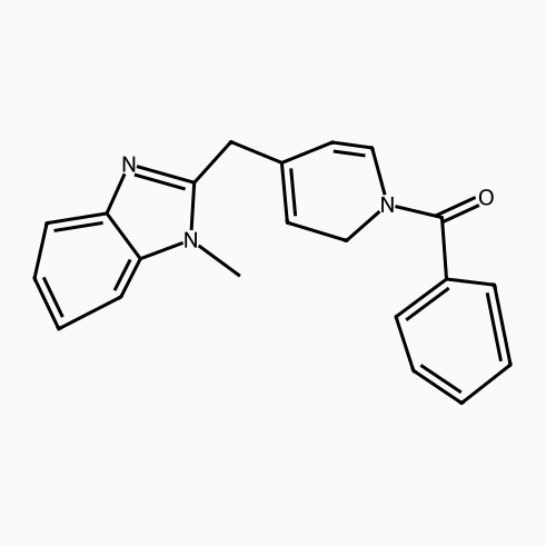 Cn1c(CC2=CCN(C(=O)c3ccccc3)C=C2)nc2ccccc21